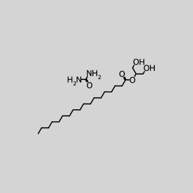 CCCCCCCCCCCCCCCCCC(=O)OC(CO)CO.NC(N)=O